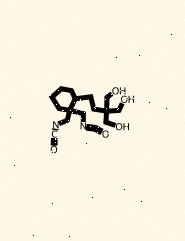 O=C=NCC1(CN=C=O)CCCCC1CCC(CO)(CO)CO